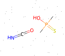 CP(C)(O)=S.N=C=O